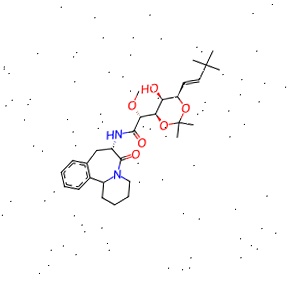 CO[C@@H](C(=O)N[C@H]1Cc2ccccc2C2CCCCN2C1=O)[C@@H]1OC(C)(C)O[C@H](/C=C/C(C)(C)C)[C@@H]1O